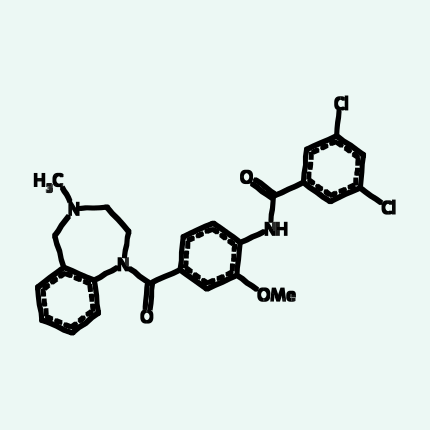 COc1cc(C(=O)N2CCN(C)Cc3ccccc32)ccc1NC(=O)c1cc(Cl)cc(Cl)c1